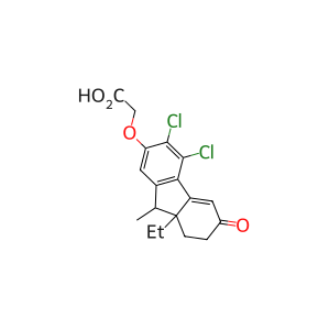 CCC12CCC(=O)C=C1c1c(cc(OCC(=O)O)c(Cl)c1Cl)C2C